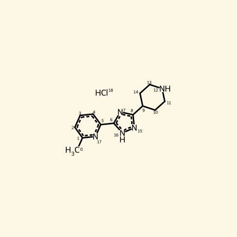 Cc1cccc(-c2nc(C3CCNCC3)n[nH]2)n1.Cl